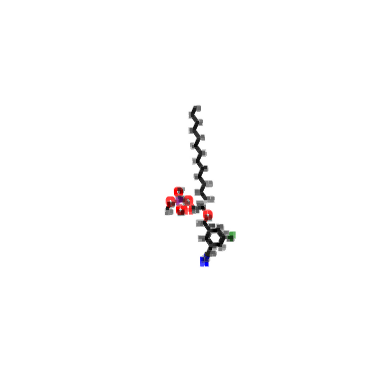 CCCCCCCCCCCCC[C@@H](COP(=O)(O)OC)OCc1cc(F)cc(C#N)c1